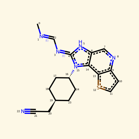 C/N=C/N=c1\[nH]c2cnc3ccsc3c2n1[C@H]1CC[C@H](CC#N)CC1